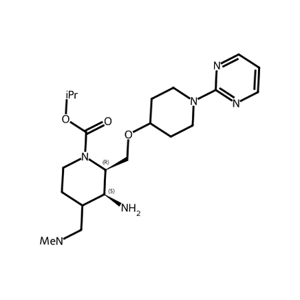 CNCC1CCN(C(=O)OC(C)C)[C@@H](COC2CCN(c3ncccn3)CC2)[C@H]1N